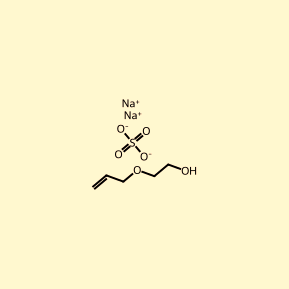 C=CCOCCO.O=S(=O)([O-])[O-].[Na+].[Na+]